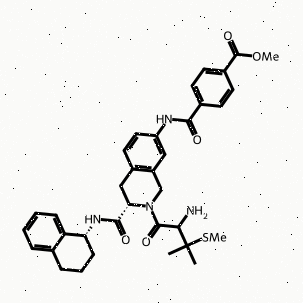 COC(=O)c1ccc(C(=O)Nc2ccc3c(c2)CN(C(=O)C(N)C(C)(C)SC)[C@H](C(=O)N[C@@H]2CCCc4ccccc42)C3)cc1